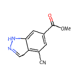 COC(=O)c1cc(C#N)c2cn[nH]c2c1